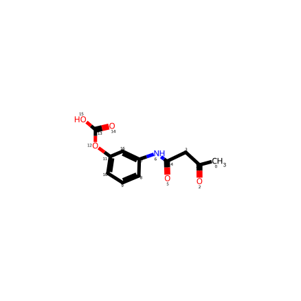 CC(=O)CC(=O)Nc1cccc(OC(=O)O)c1